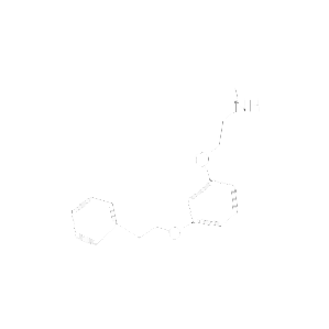 CNCCOc1cccc(OCCc2ccccc2)c1